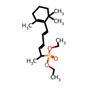 CCOP(=O)(OCC)C(C)C=CC=CC1=C(C)CCCC1(C)C